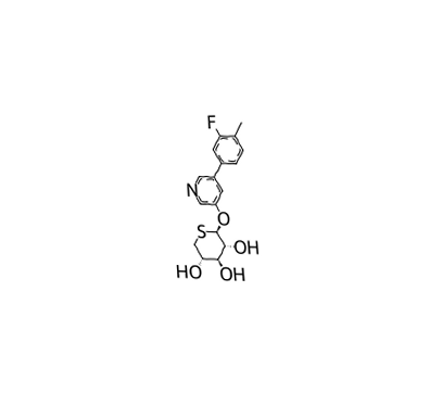 Cc1ccc(-c2cncc(O[C@@H]3SC[C@@H](O)[C@H](O)[C@H]3O)c2)cc1F